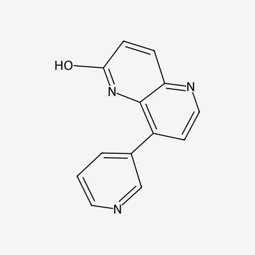 Oc1ccc2nccc(-c3cccnc3)c2n1